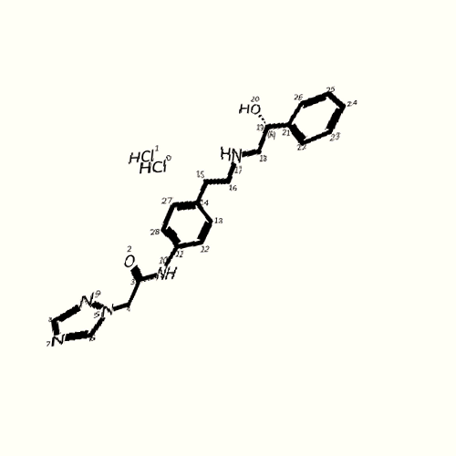 Cl.Cl.O=C(Cn1cncn1)Nc1ccc(CCNC[C@H](O)c2ccccc2)cc1